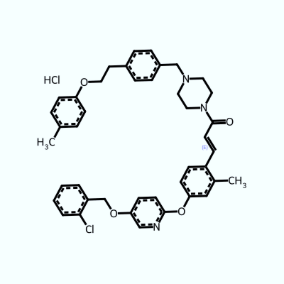 Cc1ccc(OCCc2ccc(CN3CCN(C(=O)/C=C/c4ccc(Oc5ccc(OCc6ccccc6Cl)cn5)cc4C)CC3)cc2)cc1.Cl